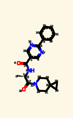 C[C@H](NC(=O)c1cnc(-c2ccccc2)nc1)C(=O)N1CCC2(CC1)CC2